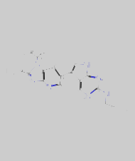 CCNc1ncc2c(-c3cnc4nc(C)n(C(C)C)c4c3)c[nH]c2n1